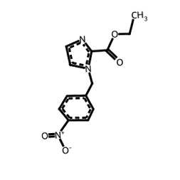 CCOC(=O)c1nccn1Cc1ccc([N+](=O)[O-])cc1